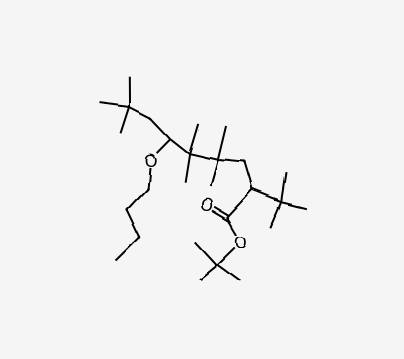 CCCCOC(CC(C)(C)C)C(C)(C)C(C)(C)CC(C(=O)OC(C)(C)C)C(C)(C)C